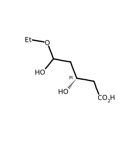 CCOC(O)C[C@@H](O)CC(=O)O